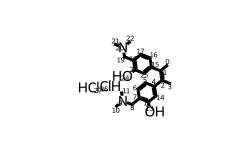 CC(=C(C)c1ccc(CN(C)C)c(O)c1)c1ccc(CN(C)C)c(O)c1.Cl.Cl